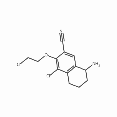 N#Cc1cc2c(c(Cl)c1OCCCl)CCCC2N